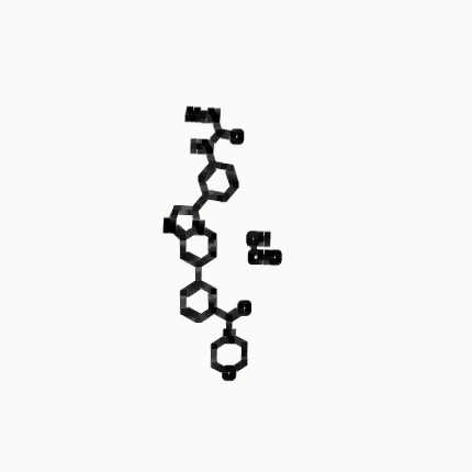 CNC(=O)Nc1cccc(-c2cnc3cc(-c4cccc(C(=O)N5CCOCC5)c4)ccn23)c1.O=CO